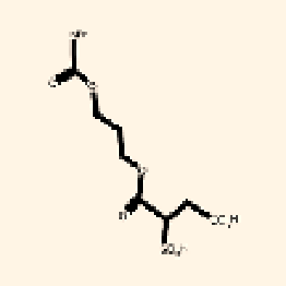 CCCC(=O)OCCCOC(=O)C(CC(=O)O)S(=O)(=O)O